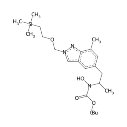 Cc1cc(CC(C)N(O)C(=O)OC(C)(C)C)cc2cn(COCC[Si](C)(C)C)nc12